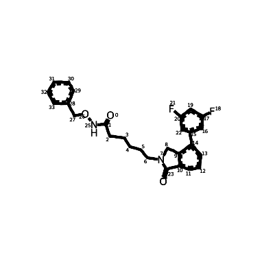 O=C(CCCCCN1Cc2c(cccc2-c2cc(F)cc(F)c2)C1=O)NOCc1ccccc1